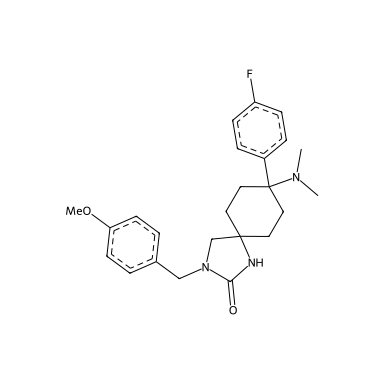 COc1ccc(CN2CC3(CCC(c4ccc(F)cc4)(N(C)C)CC3)NC2=O)cc1